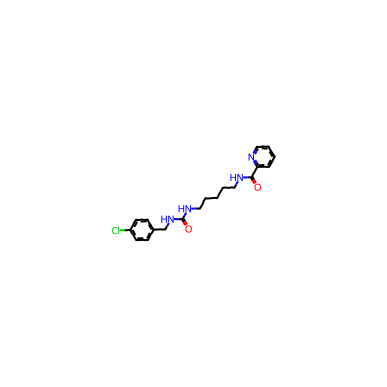 O=C(NCCCCCNC(=O)c1ccccn1)NCc1ccc(Cl)cc1